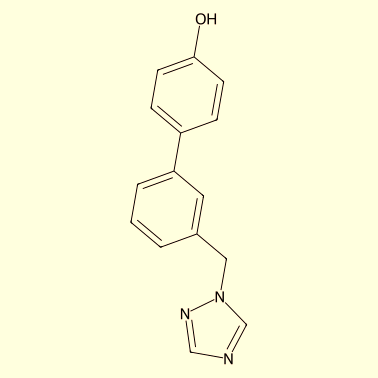 Oc1ccc(-c2cccc(Cn3cncn3)c2)cc1